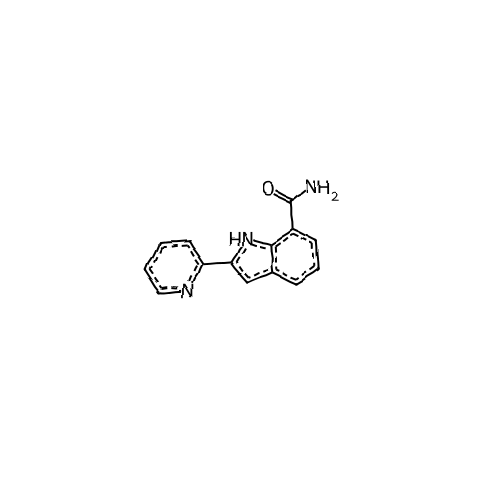 NC(=O)c1cccc2cc(-c3ccccn3)[nH]c12